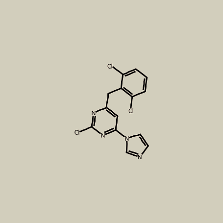 Clc1nc(Cc2c(Cl)cccc2Cl)cc(-n2ccnc2)n1